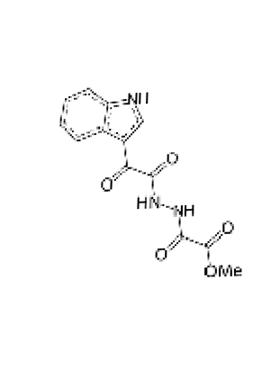 COC(=O)C(=O)NNC(=O)C(=O)c1c[nH]c2ccccc12